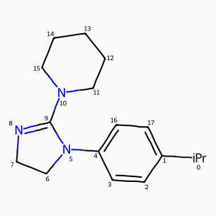 CC(C)c1ccc(N2CCN=C2N2CCCCC2)cc1